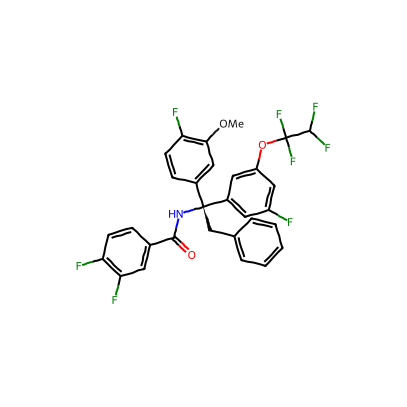 COc1cc([C@@](Cc2ccccc2)(NC(=O)c2ccc(F)c(F)c2)c2cc(F)cc(OC(F)(F)C(F)F)c2)ccc1F